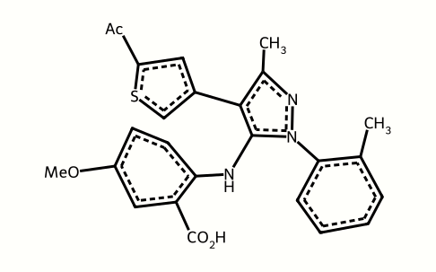 COc1ccc(Nc2c(-c3csc(C(C)=O)c3)c(C)nn2-c2ccccc2C)c(C(=O)O)c1